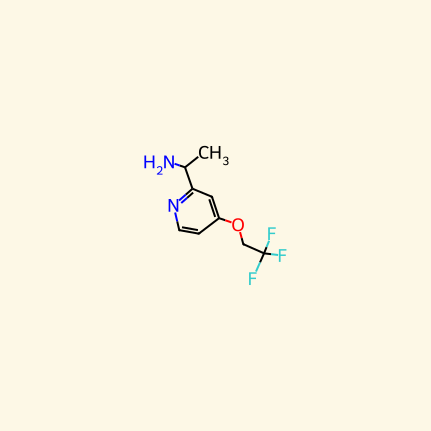 CC(N)c1cc(OCC(F)(F)F)ccn1